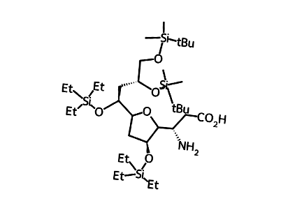 CC[Si](CC)(CC)O[C@@H](C[C@H](CO[Si](C)(C)C(C)(C)C)O[Si](C)(C)C(C)(C)C)C1C[C@H](O[Si](CC)(CC)CC)C([C@@H](N)CC(=O)O)O1